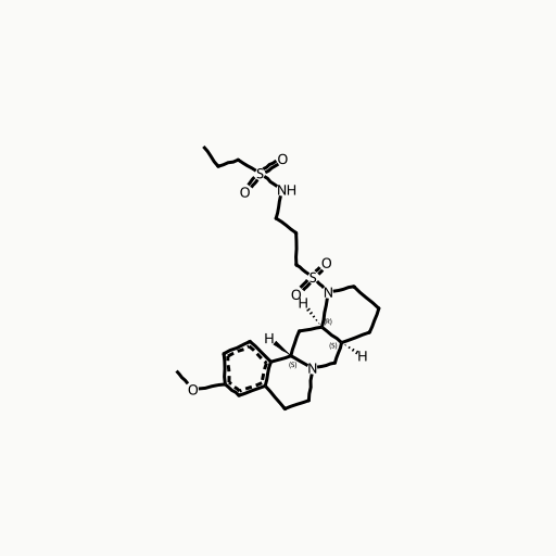 CCCS(=O)(=O)NCCCS(=O)(=O)N1CCC[C@H]2CN3CCc4cc(OC)ccc4[C@@H]3C[C@H]21